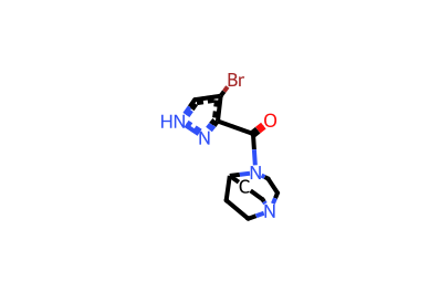 O=C(c1n[nH]cc1Br)N1CCN2CCC1CC2